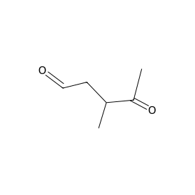 CC(=O)C(C)CC=O